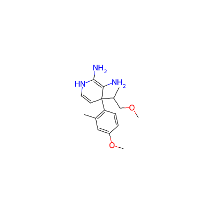 COCC(C)C1(c2ccc(OC)cc2C)C=CNC(N)=C1N